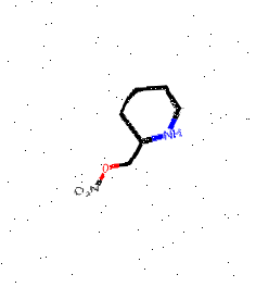 O=[N+]([O-])OCC1CCC[CH]N1